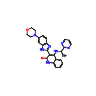 CCC[C@@H](Nc1c(-c2nc3ccc(N4CCOCC4)cc3[nH]2)c(=O)[nH]c2ccccc12)c1ncccn1